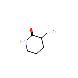 CSC1CCCNC1=O